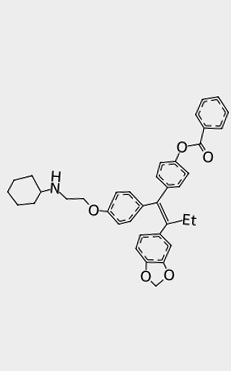 CC/C(=C(/c1ccc(OCCNC2CCCCC2)cc1)c1ccc(OC(=O)c2ccccc2)cc1)c1ccc2c(c1)OCO2